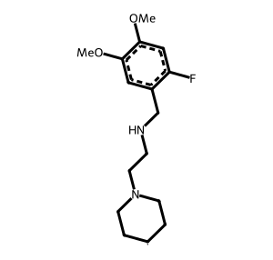 COc1cc(F)c(CNCCN2CC[CH]CC2)cc1OC